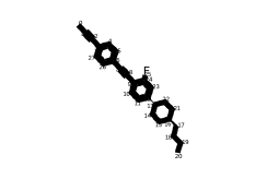 CC#Cc1ccc(C#Cc2ccc([C@H]3CC[C@H](CCCC)CC3)cc2F)cc1